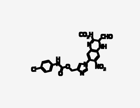 O=CC1Nc2cc([N+](=O)[O-])c(-n3cnc(COC(=O)Nc4ccc(Cl)cc4)c3)cc2N=C1C(=O)O